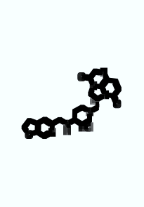 Cl.O=c1cnc2ccc(=O)n3c2n1C[C@H]3CN1CCC(NCc2cc3c(cn2)OCC3)CC1